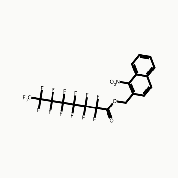 O=C(OCc1ccc2ccccc2c1[N+](=O)[O-])C(F)(F)C(F)(F)C(F)(F)C(F)(F)C(F)(F)C(F)(F)C(F)(F)F